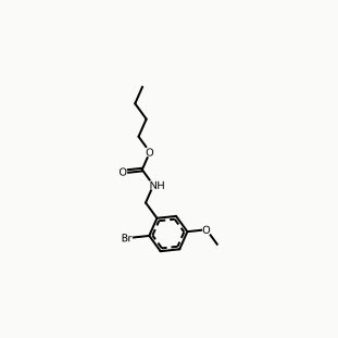 CCCCOC(=O)NCc1cc(OC)ccc1Br